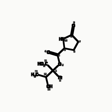 CCC(OC(=O)C1CCC(=O)N1)(C(=O)O)C(C)O